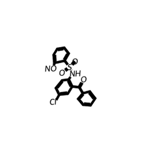 O=Nc1ccccc1S(=O)(=O)Nc1ccc(Cl)cc1C(=O)c1ccccc1